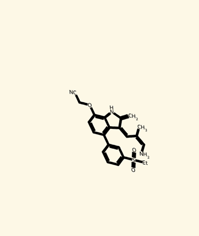 C=c1[nH]c2c(OCC#N)ccc(-c3cccc(S(=O)(=O)CC)c3)c2/c1=C/C(C)=C\N